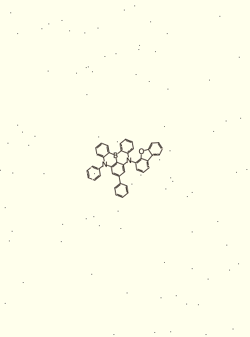 c1ccc(-c2cc3c4c(c2)N(c2cccc5c2oc2ccccc25)c2ccccc2B4c2ccccc2N3c2ccccc2)cc1